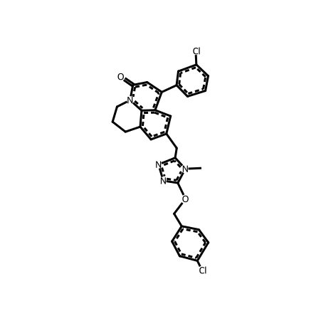 Cn1c(Cc2cc3c4c(c2)c(-c2cccc(Cl)c2)cc(=O)n4CCC3)nnc1OCc1ccc(Cl)cc1